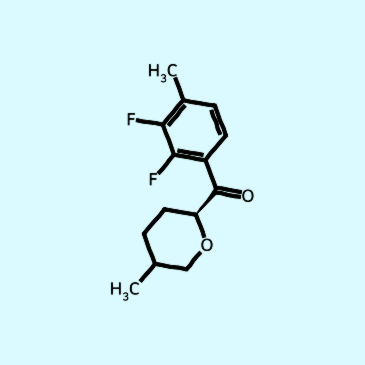 Cc1ccc(C(=O)[C@@H]2CCC(C)CO2)c(F)c1F